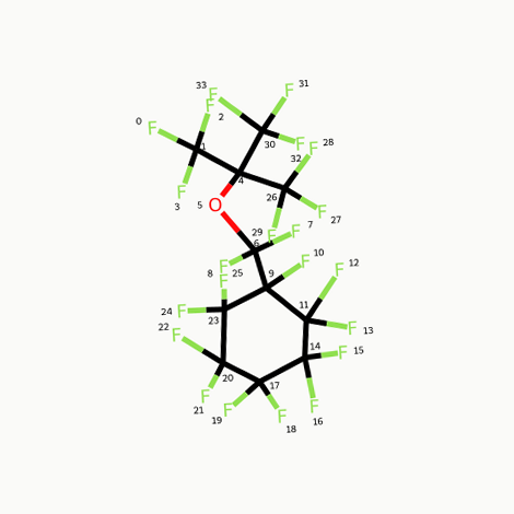 FC(F)(F)C(OC(F)(F)C1(F)C(F)(F)C(F)(F)C(F)(F)C(F)(F)C1(F)F)(C(F)(F)F)C(F)(F)F